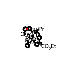 CCOC(=O)CCCc1ccc(Cc2c(C(C)C)nn(Cc3ccccc3)c2OC2OC(COC(=O)c3ccccc3)[C@@H](F)C(OC(=O)c3ccccc3)[C@H]2OC(=O)c2ccccc2)cc1